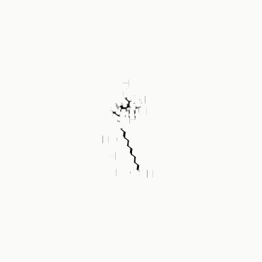 CC[C@H](C)[C@H](NC(C)=O)C(=O)N[C@@H](CSC/C=C(\C)CC/C=C(\C)CCC=C(C)C)C(=O)O